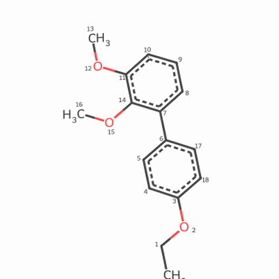 CCOc1ccc(-c2cc[c]c(OC)c2OC)cc1